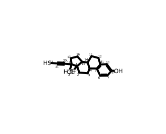 CC12CCC3c4ccc(O)cc4CCC3C1CCC2(O)C#CS